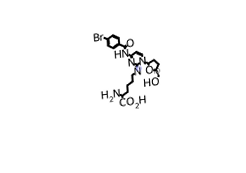 NC(CCCC/N=c1\nc(NC(=O)c2ccc(Br)cc2)ccn1C1CC[C@@H](CO)O1)C(=O)O